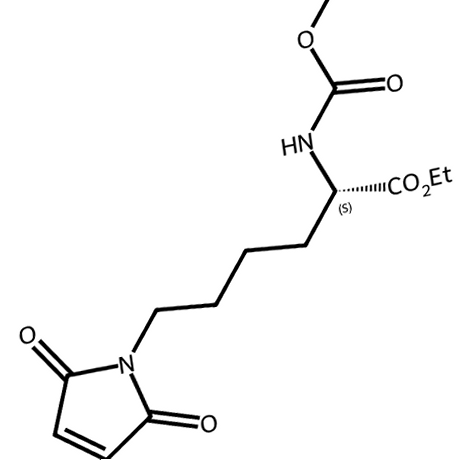 CCOC(=O)[C@H](CCCCN1C(=O)C=CC1=O)NC(=O)OC(C)(C)C